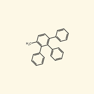 Cc1ccc(-c2ccccc2)c(-c2ccccc2)c1-c1ccccc1